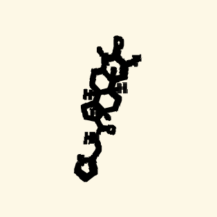 CN1C(=O)C(F)=C[C@@]2(C)C1CC[C@@H]1[C@H]2CC[C@]2(C)C(C(=O)NCc3cccs3)CC[C@@H]12